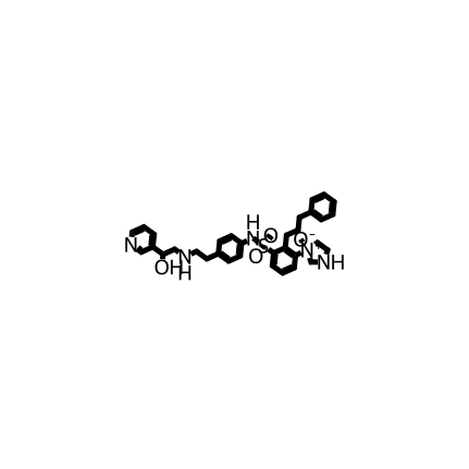 O=S(=O)(Nc1ccc(CCNCC(O)c2cccnc2)cc1)c1cccc([N+]2([O-])CCNC2)c1CCCc1ccccc1